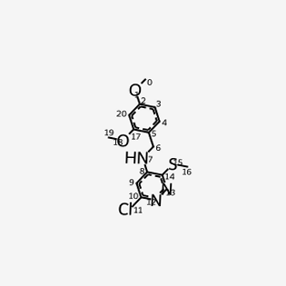 COc1ccc(CNc2cc(Cl)nnc2SC)c(OC)c1